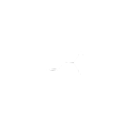 C=COC(I)CCC